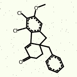 COc1cc2c(c(Cl)c1Cl)C1=CC(=O)CCC1(Cc1ccccc1)C2